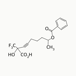 CC(CCCC#CC(O)(C(=O)O)C(F)(F)F)OC(=O)c1ccccc1